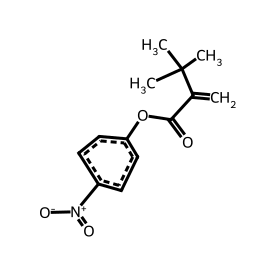 C=C(C(=O)Oc1ccc([N+](=O)[O-])cc1)C(C)(C)C